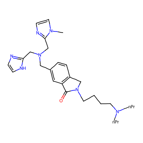 CCCN(CCC)CCCCN1Cc2ccc(CN(Cc3ncc[nH]3)Cc3nccn3C)cc2C1=O